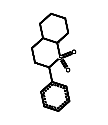 O=S1(=O)[C]2CCCCC2CCC1c1ccccc1